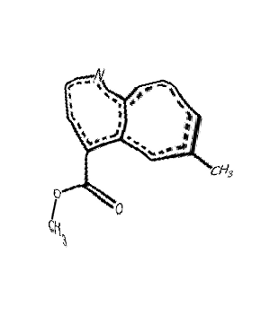 COC(=O)c1ccnc2ccc(C)cc12